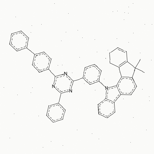 CC1(C)C2=C(CCC=C2)c2c1ccc1c3ccccc3n(-c3cccc(-c4nc(-c5ccccc5)nc(-c5ccc(-c6ccccc6)cc5)n4)c3)c21